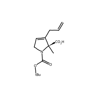 C=CCC1=CCN(C(=O)OC(C)(C)C)[C@]1(C)C(=O)O